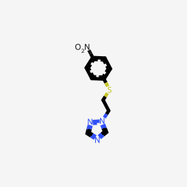 O=[N+]([O-])c1ccc(SCCn2cncn2)cc1